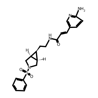 Nc1ccc(/C=C/C(=O)NCC[C@H]2[C@H]3CN(S(=O)(=O)c4ccccc4)C[C@@H]23)cn1